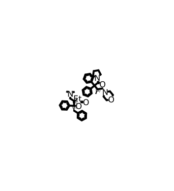 CCC(=O)O[C@](Cc1ccccc1)(c1ccccc1)[C@H](C)CN(C)C.C[C@H](CN1CCOCC1)C(C(=O)N1CCCC1)(c1ccccc1)c1ccccc1